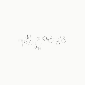 C#C[C@@]1(OC(C)=O)[C@@H](COC(Cc2ccc(-c3cccn(CCO[Si](c4ccccc4)(c4ccccc4)C(C)(C)C)c3=O)cc2)(C(=O)OCC)C(=O)OCC)O[C@@H](n2cnc3c(NC(C)C)nc(Cl)nc32)[C@@H]1OC(C)=O